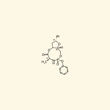 CC(C)[C@H]1CC2OC(=O)[C@H](C)NP(=O)(Oc3ccccc3)OC[C@H]2O1